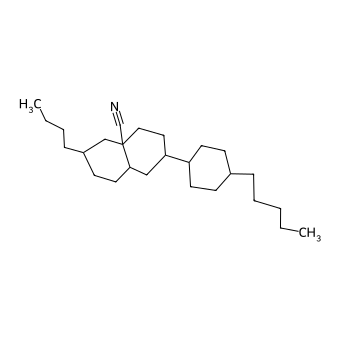 CCCCCC1CCC(C2CCC3(C#N)CC(CCCC)CCC3C2)CC1